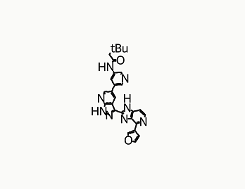 CC(C)(C)CC(=O)Nc1cncc(-c2cnc3[nH]nc(-c4nc5c(-c6ccoc6)nccc5[nH]4)c3c2)c1